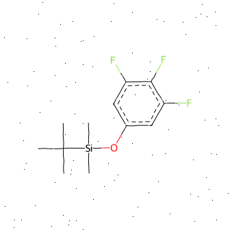 CC(C)(C)[Si](C)(C)Oc1cc(F)c(F)c(F)c1